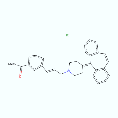 COC(=O)c1cccc(/C=C/CN2CCC(=C3c4ccccc4C=Cc4ccccc43)CC2)c1.Cl